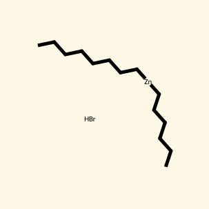 Br.CCCCCCC[CH2][Zn][CH2]CCCCC